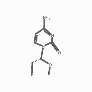 CO[C@H](CF)n1ccc(N)nc1=O